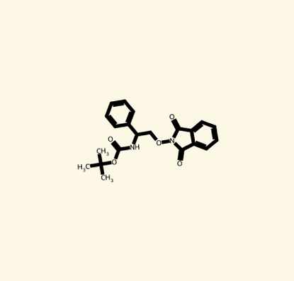 CC(C)(C)OC(=O)NC(CON1C(=O)c2ccccc2C1=O)c1ccccc1